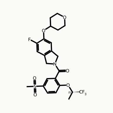 C[C@H](Oc1ccc(S(C)(=O)=O)cc1C(=O)N1Cc2cc(F)c(OC3CCOCC3)cc2C1)C(F)(F)F